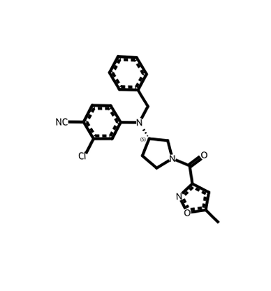 Cc1cc(C(=O)N2CC[C@H](N(Cc3ccccc3)c3ccc(C#N)c(Cl)c3)C2)no1